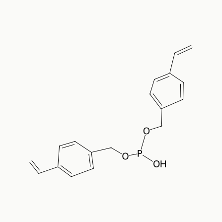 C=Cc1ccc(COP(O)OCc2ccc(C=C)cc2)cc1